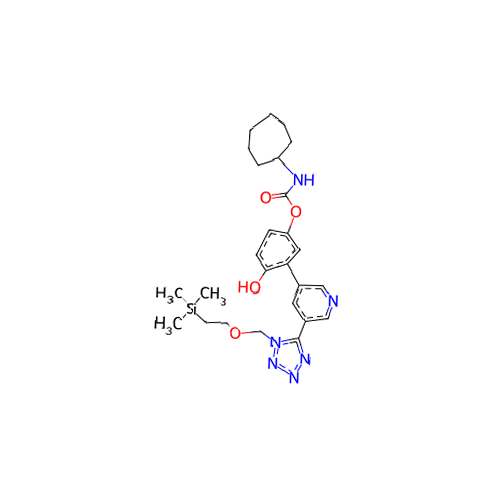 C[Si](C)(C)CCOCn1nnnc1-c1cncc(-c2cc(OC(=O)NC3CCCCCC3)ccc2O)c1